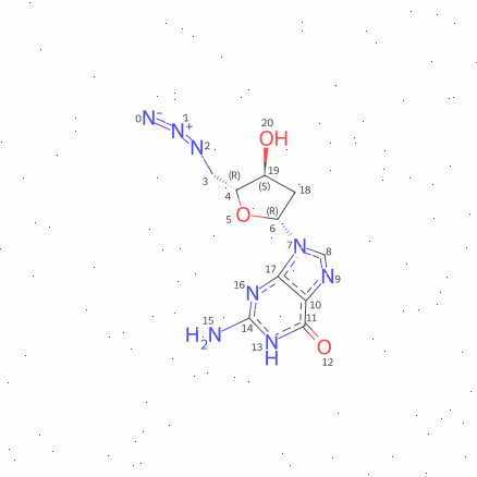 [N-]=[N+]=NC[C@H]1O[C@@H](n2cnc3c(=O)[nH]c(N)nc32)C[C@@H]1O